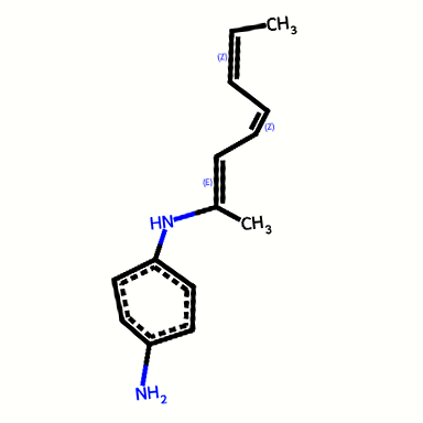 C\C=C/C=C\C=C(/C)Nc1ccc(N)cc1